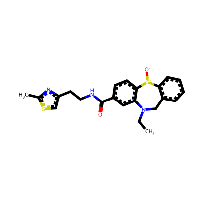 CCN1Cc2ccccc2[S+]([O-])c2ccc(C(=O)NCCc3csc(C)n3)cc21